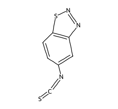 S=C=Nc1ccc2snnc2c1